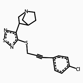 Clc1ccc(C#CCSc2nsnc2C2CN3CCC2C3)cc1